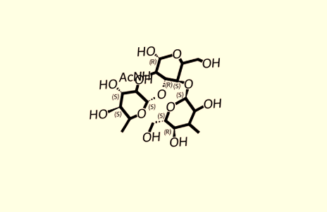 CC(=O)NC1[C@H](O)OC(CO)[C@@H](O[C@@H]2O[C@@H](CO)[C@H](O)C(C)C2O)[C@@H]1O[C@@H]1OC(C)[C@@H](O)[C@H](O)C1O